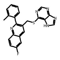 Cc1ccccc1-c1nc2ccc(F)cc2cc1CSc1ncnc2nc[nH]c12